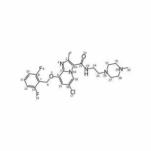 Cc1nc2c(OCc3c(F)cccc3F)cc(Cl)cn2c1C(=O)NCCN1CCN(C)CC1